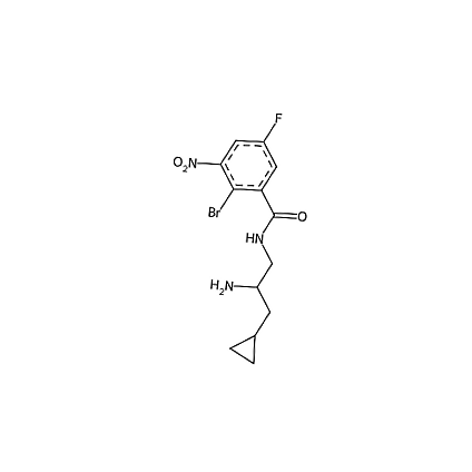 NC(CNC(=O)c1cc(F)cc([N+](=O)[O-])c1Br)CC1CC1